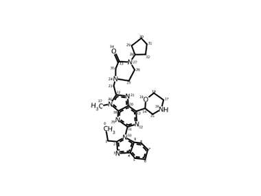 CCc1nc2ccccc2n1-c1nc(C2CNCCO2)c2nc(CN3CCN(C4CCCC4)C(=O)C3)n(C)c2n1